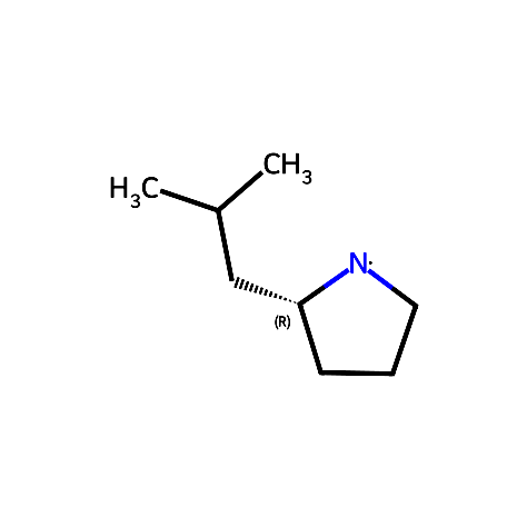 CC(C)C[C@H]1CCC[N]1